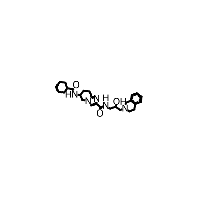 O=C(NCC(O)CN1CCc2ccccc2C1)c1cn2c(n1)CCC(NC(=O)C1CCCCC1)C2